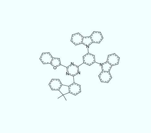 CC1(C)c2ccccc2-c2c(-c3nc(-c4cc(-n5c6ccccc6c6ccccc65)cc(-n5c6ccccc6c6ccccc65)c4)nc(-c4cc5ccccc5o4)n3)cccc21